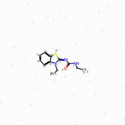 CC(C)Cn1c(=NC(=O)NCC(F)(F)F)sc2ccccc21